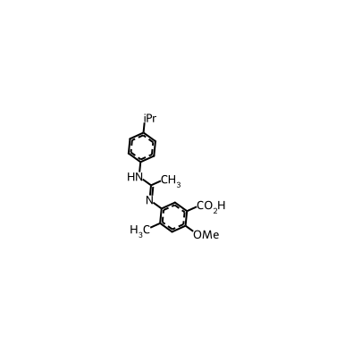 COc1cc(C)c(/N=C(\C)Nc2ccc(C(C)C)cc2)cc1C(=O)O